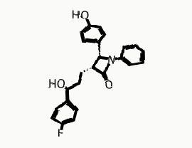 O=C1[C@H](CC[C@H](O)c2ccc(F)cc2)[C@@H](c2ccc(O)cc2)N1c1ccccc1